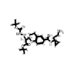 CC(C)(C)OC(=O)NO[C@](C)(C(=O)OC(C)(C)C)[C@H]1CCc2cc(C(=N)NC3(CCN)CC3)ccc2O1